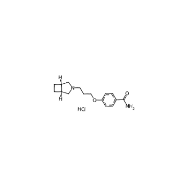 Cl.NC(=O)c1ccc(OCCCN2C[C@H]3CC[C@H]3C2)cc1